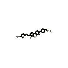 C=CC1CCC(c2ccc(-c3ccc(CCC4CCC(CCC)CO4)c(F)c3F)c(F)c2F)CC1